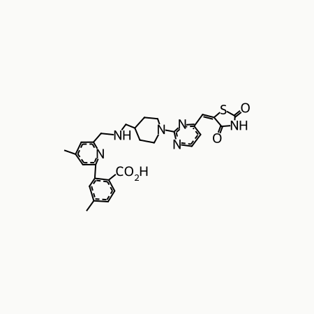 Cc1cc(CNCC2CCN(c3nccc(C=C4SC(=O)NC4=O)n3)CC2)nc(-c2cc(C)ccc2C(=O)O)c1